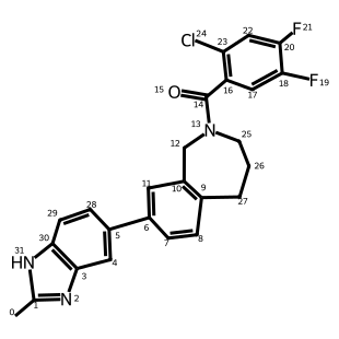 Cc1nc2cc(-c3ccc4c(c3)CN(C(=O)c3cc(F)c(F)cc3Cl)CCC4)ccc2[nH]1